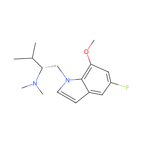 COc1cc(F)cc2ccn(C[C@@H](C(C)C)N(C)C)c12